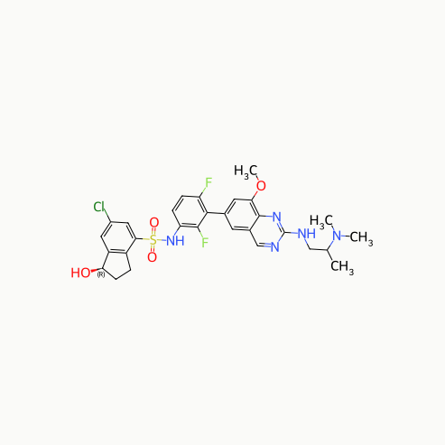 COc1cc(-c2c(F)ccc(NS(=O)(=O)c3cc(Cl)cc4c3CC[C@H]4O)c2F)cc2cnc(NCC(C)N(C)C)nc12